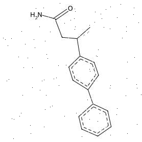 CC(CC(N)=O)c1ccc(-c2ccccc2)cc1